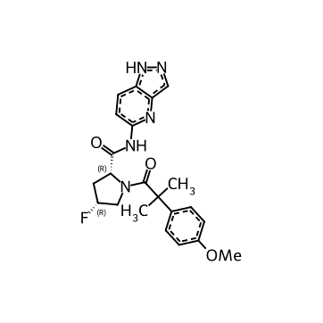 COc1ccc(C(C)(C)C(=O)N2C[C@H](F)C[C@@H]2C(=O)Nc2ccc3[nH]ncc3n2)cc1